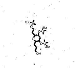 C[C@@H](CCO)C1OC(CCO[Si](C)(C)C(C)(C)C)C(O[Si](C)(C)C(C)(C)C)CC1O[Si](C)(C)C(C)(C)C